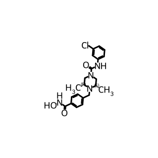 C[C@@H]1CN(C(=O)Nc2cccc(Cl)c2)C[C@H](C)N1Cc1ccc(C(=O)NO)cc1